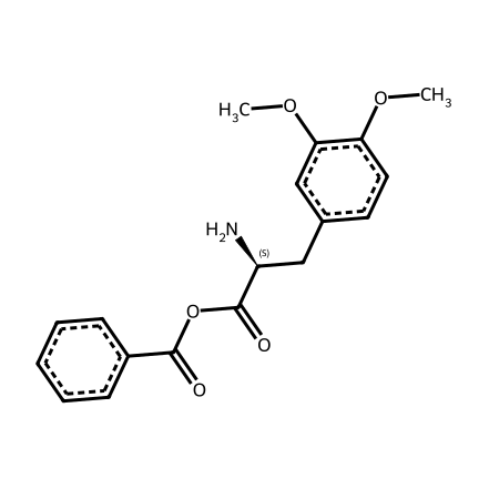 COc1ccc(C[C@H](N)C(=O)OC(=O)c2ccccc2)cc1OC